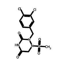 CS(=O)(=O)N1CC(=O)NC(=O)N1Cc1ccc(Cl)c(Cl)c1